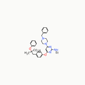 CCNc1nc(Oc2ccc(CC(C)(Oc3ccccc3)C(=O)O)cc2)cc(N2CCN(Cc3ccccc3)CC2)n1